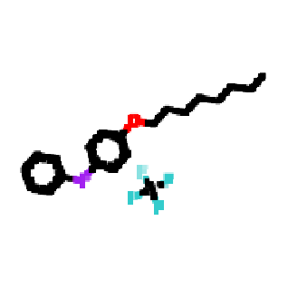 CCCCCCCCOc1ccc([I+]c2ccccc2)cc1.F[B-](F)(F)F